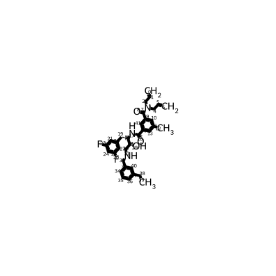 C=CCN(CC=C)C(=O)c1cc(C)cc(C(=O)N[C@@H](Cc2cc(F)cc(F)c2)[C@H](O)CNCc2cccc(CC)c2)c1